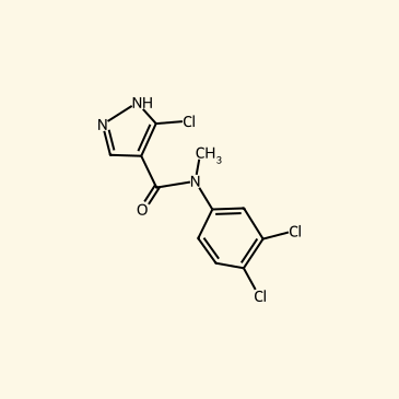 CN(C(=O)c1cn[nH]c1Cl)c1ccc(Cl)c(Cl)c1